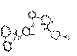 NC1CCC(Nc2nccc(-c3cnccc3Oc3ccc(NS(=O)(=O)c4ccccc4-c4ccccc4)cc3F)n2)CC1